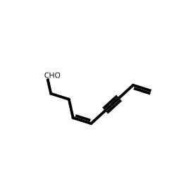 C=CC#C/C=C\CCC=O